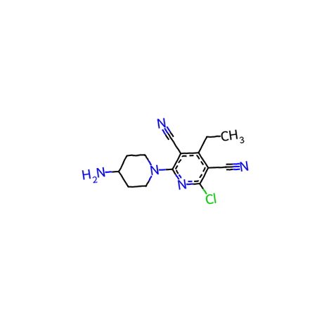 CCc1c(C#N)c(Cl)nc(N2CCC(N)CC2)c1C#N